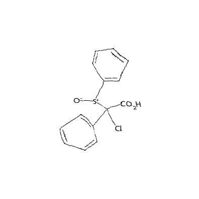 O=C(O)C(Cl)(c1ccccc1)[S+]([O-])c1ccccc1